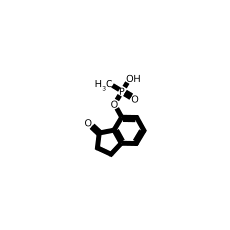 CP(=O)(O)Oc1cccc2c1C(=O)CC2